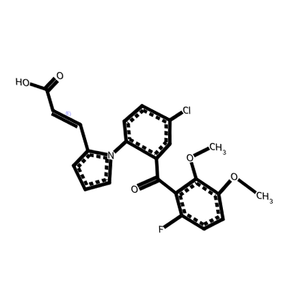 COc1ccc(F)c(C(=O)c2cc(Cl)ccc2-n2cccc2/C=C/C(=O)O)c1OC